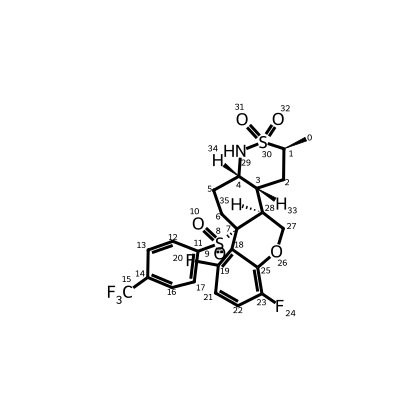 C[C@H]1C[C@H]2[C@H](CC[C@]3(S(=O)(=O)c4ccc(C(F)(F)F)cc4)c4c(F)ccc(F)c4OC[C@H]23)NS1(=O)=O